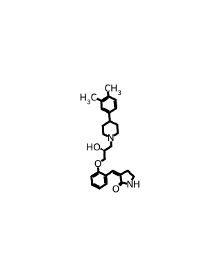 Cc1ccc(C2CCN(C[C@H](O)COc3ccccc3/C=C3/CCNC3=O)CC2)cc1C